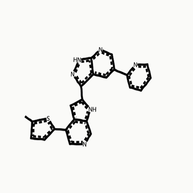 Cc1ccc(-c2cncc3[nH]c(-c4n[nH]c5ncc(-c6ccccn6)cc45)cc23)s1